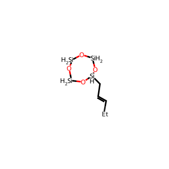 CCC=CC[SiH]1O[SiH2]O[SiH2]O[SiH2]O1